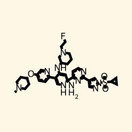 CN1CCC(Oc2ccc(C3=CNC(N)(c4ccnc(-c5cnn(S(=O)(=O)C6CC6)c5)n4)C=C3NC3CCCN(CCF)C3)nc2)CC1